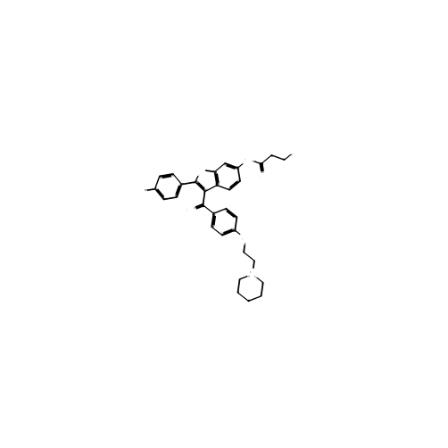 CCCCCCCCCCCCC(=O)Oc1ccc2c(C(=O)c3ccc(OCCN4CCCCC4)cc3)c(-c3ccc(O)cc3)sc2c1